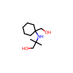 CC(C)(CO)NC1(CO)CCCCC1